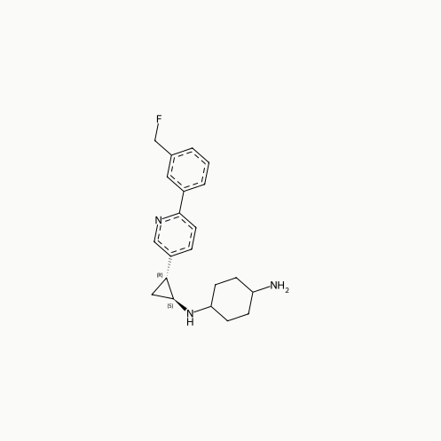 NC1CCC(N[C@H]2C[C@@H]2c2ccc(-c3cccc(CF)c3)nc2)CC1